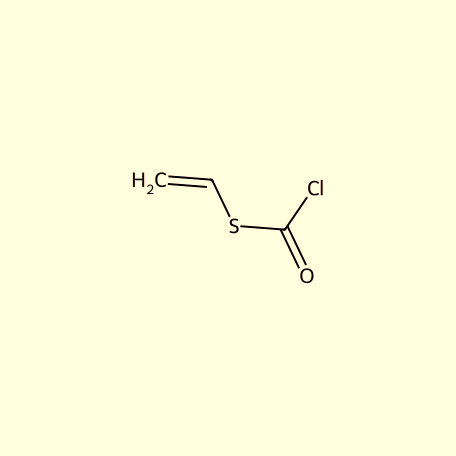 C=CSC(=O)Cl